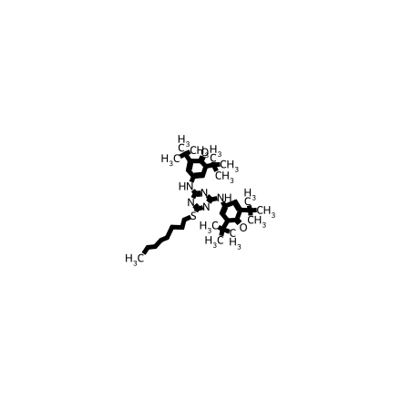 CCCCCCCCSc1nc(NC2=CC(C(C)(C)C)C(=O)C(C(C)(C)C)=C2)nc(NC2=CC(C(C)(C)C)C(=O)C(C(C)(C)C)=C2)n1